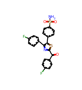 NS(=O)(=O)c1ccc(-c2sc(C(=O)c3ccc(F)cc3)nc2-c2ccc(F)cc2)cc1